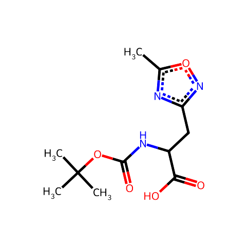 Cc1nc(CC(NC(=O)OC(C)(C)C)C(=O)O)no1